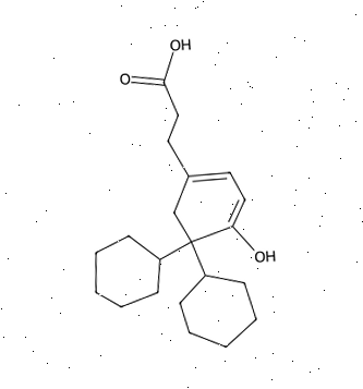 O=C(O)CCC1=CC=C(O)C(C2CCCCC2)(C2CCCCC2)C1